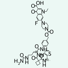 CCn1cc(C(=O)O)c(=O)c2cc(F)c(N3CCN(C(=O)OCc4ccc(NC(=O)[C@H](CCCNC(N)=O)NC(=O)C5(C(=O)N[C@@H](C)c6cccs6)CCC5)cc4)CC3)cc21